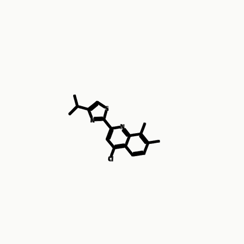 Cc1ccc2c(Cl)cc(-c3nc(C(C)C)cs3)nc2c1C